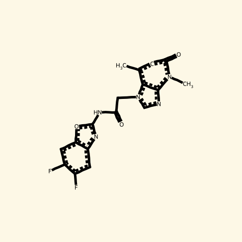 Cc1cc(=O)n(C)c2ncn(CC(=O)Nc3nc4cc(F)c(F)cc4o3)c12